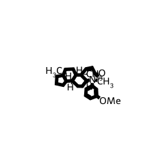 COc1cccc([N+]2(C)C(=O)C=C[C@@]3(C)[C@H]2CC[C@H]2[C@@H]4CCC[C@@]4(C)CC[C@@H]23)c1